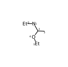 CC[N]C(C)OCC